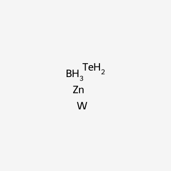 B.[TeH2].[W].[Zn]